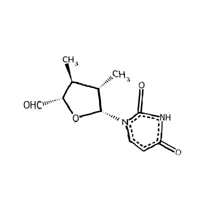 C[C@H]1[C@H](C)[C@@H](C=O)O[C@H]1n1ccc(=O)[nH]c1=O